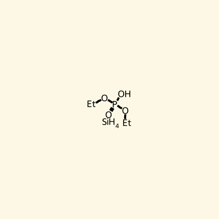 CCOP(=O)(O)OCC.[SiH4]